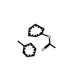 CC(=O)Oc1ccccc1.Cc1ccccc1